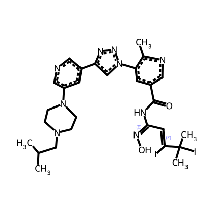 Cc1ncc(C(=O)NC(/C=C(\I)C(C)(C)I)=N/O)cc1-n1cc(-c2cncc(N3CCN(CC(C)C)CC3)c2)nn1